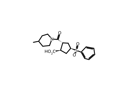 CC1CCN(C(=O)[C@@H]2C[C@@H](S(=O)(=O)c3ccccc3)C[C@H]2C(=O)O)CC1